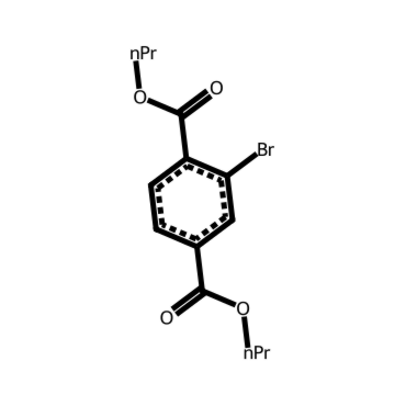 CCCOC(=O)c1ccc(C(=O)OCCC)c(Br)c1